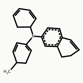 CC1C=CC(N(c2ccc3c(c2)CCC=C3)C2C=CC=CC2)=CC1